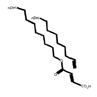 C=CCCCCCCCCCCCCCCCC.CCCCCCCCCCCCCCCCCCOC(=O)C=CC(=O)O